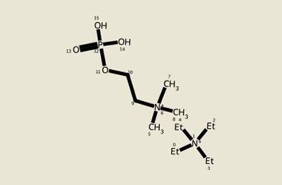 CC[N+](CC)(CC)CC.C[N+](C)(C)CCOP(=O)(O)O